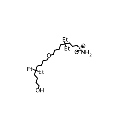 CCC(CC)(CCCCO)CCCCOCCCCC(CC)(CC)CCCS(N)(=O)=O